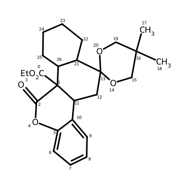 CCOC(=O)C12C(=O)Oc3ccccc3C1CC1(OCC(C)(C)CO1)C1CCCCC12